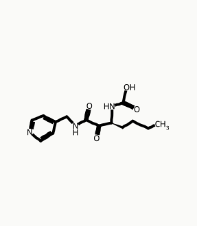 CCCC[C@H](NC(=O)O)C(=O)C(=O)NCc1ccncc1